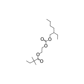 CCCCC(CC)COC(=O)OCCOC(=O)C(C)(C)CC